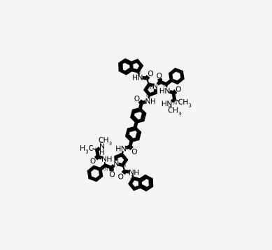 CN[C@@H](C)C(=O)N[C@H](C(=O)N1C[C@@H](NC(=O)c2ccc(-c3ccc(C(=O)N[C@H]4C[C@@H](C(=O)N[C@@H]5CCc6ccccc65)N(C(=O)[C@@H](NC(=O)[C@H](C)NC)C5CCCCC5)C4)cc3)cc2)C[C@H]1C(=O)N[C@@H]1CCc2ccccc21)C1CCCCC1